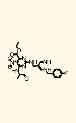 CCOC(=O)c1nc(NC/C(C=N)=C/NCc2ccc(F)cc2)nc(N(C)C(C)C=O)c1[N+](=O)[O-]